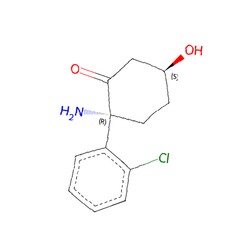 N[C@@]1(c2ccccc2Cl)CC[C@H](O)CC1=O